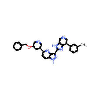 Cc1cccc(-c2cncc3[nH]c(-c4n[nH]c5ccc(-c6cncc(OCc7ccccc7)c6)nc45)nc23)c1